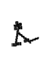 CCCCCCCC(C)COC(=O)CCCCCCCN(CCCCCCCC(O)O)CCCNc1c(NC)c(=O)c1=O